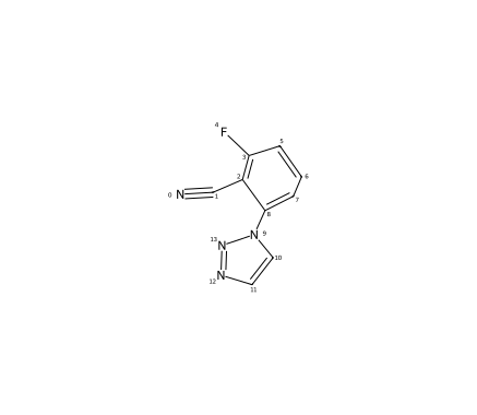 N#Cc1c(F)cccc1-n1ccnn1